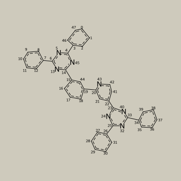 c1ccc(-c2nc(-c3ccccc3)nc(-c3cccc(-c4cc(-c5nc(-c6ccccc6)nc(-c6ccccc6)n5)ccn4)c3)n2)cc1